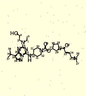 CCN(CCO)c1nc(NC2CCN(C(=O)O[C@H]3CCN(C(=O)/C=C/CN(C)C)C3)CC2)n2ncc(C(C)C)c2n1